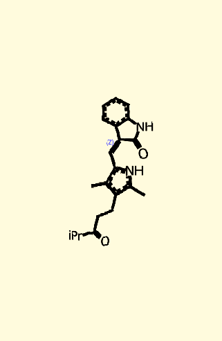 Cc1[nH]c(/C=C2\C(=O)Nc3ccccc32)c(C)c1CCC(=O)C(C)C